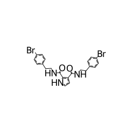 O=C(NCCc1ccc(Br)cc1)c1cc[nH]c1C(=O)NCCc1ccc(Br)cc1